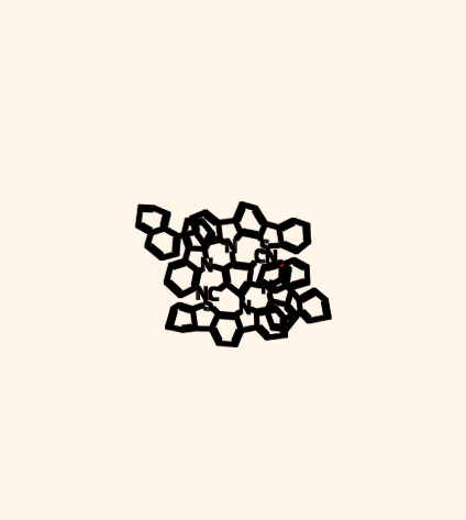 N#Cc1c(-n2c3ccccc3c3ccccc32)c(-n2c3cc(-c4cccc5ccccc45)ccc3c3ccc4c5ccccc5sc4c32)c(C#N)c(-n2c3ccccc3c3ccccc32)c1-n1c2cc(-c3ccccc3-c3ccccc3)ccc2c2ccc3c4ccccc4sc3c21